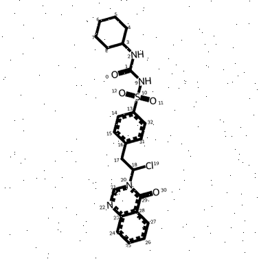 O=C(NC1CCCCC1)NS(=O)(=O)c1ccc(CC(Cl)n2cnc3ccccc3c2=O)cc1